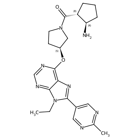 CCn1c(-c2cnc(C)nc2)nc2c(O[C@H]3CCN(C(=O)[C@@H]4CCC[C@H]4N)C3)ncnc21